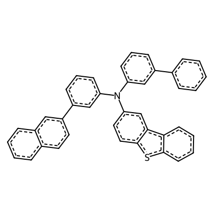 c1ccc(-c2cccc(N(c3cccc(-c4ccc5ccccc5c4)c3)c3ccc4sc5ccccc5c4c3)c2)cc1